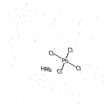 [Cl][Pb]([Cl])([Cl])[Cl].[RbH]